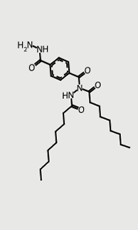 CCCCCCCCC(=O)NN(C(=O)CCCCCCCC)C(=O)c1ccc(C(=O)NN)cc1